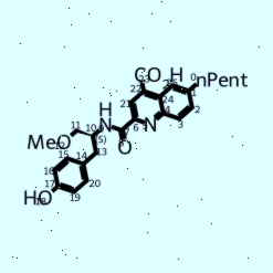 CCCCCc1ccc2nc(C(=O)N[C@H](COC)Cc3ccc(O)cc3)cc(C(=O)O)c2c1